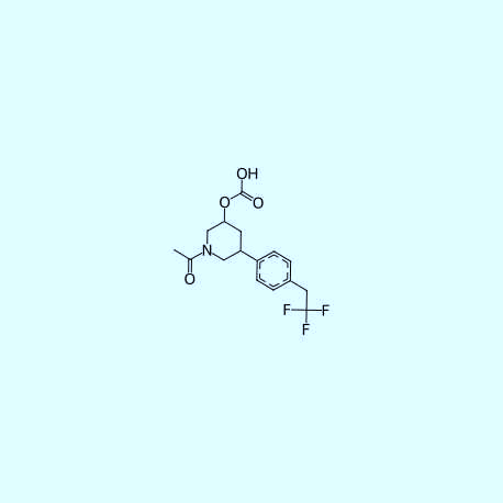 CC(=O)N1CC(OC(=O)O)CC(c2ccc(CC(F)(F)F)cc2)C1